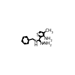 Cc1csc(/C(=N\N)NCc2ccccc2)c1N